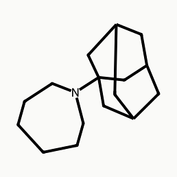 C1CCCN(C23CC4CC(CC(C4)C2)C3)CC1